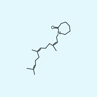 CC(C)=CCCC(C)=CCCC(C)=CCN1CCCCCC1=O